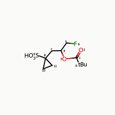 CC(C)(C)C(=O)OC(CF)CC1(S(=O)(=O)O)CC1